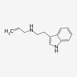 C=CCNCCc1c[nH]c2ccccc12